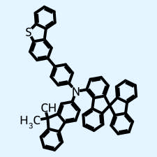 CC1(C)c2ccccc2-c2ccc(N(c3ccc(-c4ccc5sc6ccccc6c5c4)cc3)c3cccc4c3-c3ccccc3C43c4ccccc4-c4ccccc43)cc21